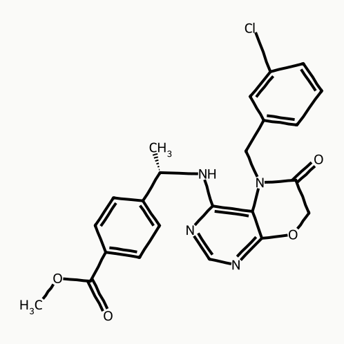 COC(=O)c1ccc([C@H](C)Nc2ncnc3c2N(Cc2cccc(Cl)c2)C(=O)CO3)cc1